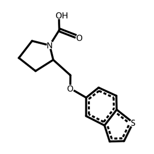 O=C(O)N1CCCC1COc1ccc2sccc2c1